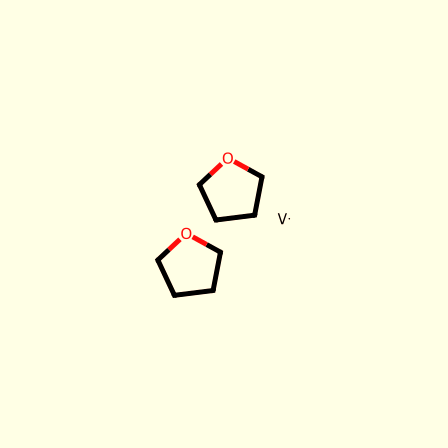 C1CCOC1.C1CCOC1.[V]